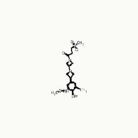 CONc1cc(C2CN(C3CN(C(=O)CCS(C)(=O)=O)C3)C2)cc(C)c1O